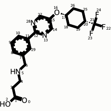 O=C(O)CCNCc1cccc(-c2ncc(O[C@H]3CC[C@@H](C(F)(F)F)CC3)cn2)c1